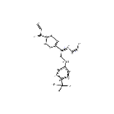 C=CC(=O)N1CC=C(/C(CNc2cnc(C(C)(F)F)nc2)=N/C=C\C)CC1